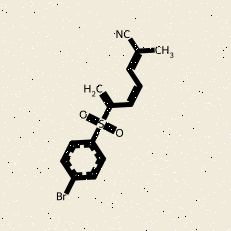 C=C(/C=C\C=C(/C)C#N)S(=O)(=O)c1ccc(Br)cc1